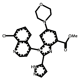 COC(=O)c1cc(N2CCOCC2)cc2c1nc(-c1ccn[nH]1)n2-c1ccnc2c(Cl)cccc12